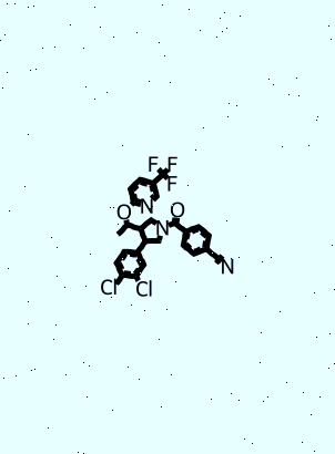 CC(Oc1ccc(C(F)(F)F)cn1)C1CN(C(=O)c2ccc(C#N)cc2)CC1c1ccc(Cl)c(Cl)c1